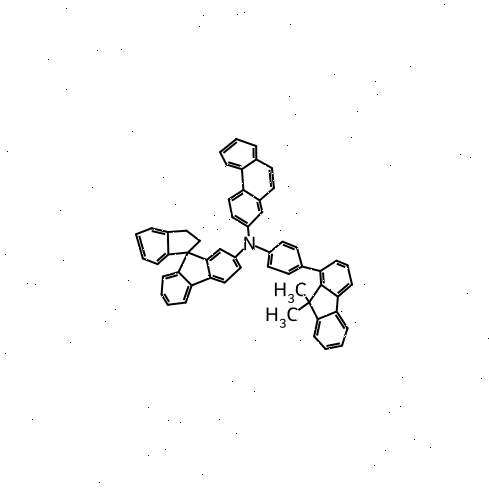 CC1(C)c2ccccc2-c2cccc(-c3ccc(N(c4ccc5c(c4)C4(CCc6ccccc64)c4ccccc4-5)c4ccc5c(ccc6ccccc65)c4)cc3)c21